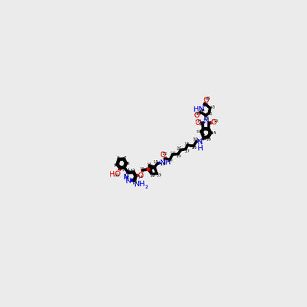 Nc1nnc(-c2ccccc2O)cc1OCC1CC2(CNC(=O)CCCCCCCCNc3ccc4c(c3)C(=O)N(C3CCC(=O)NC3=O)C4=O)CC1C2